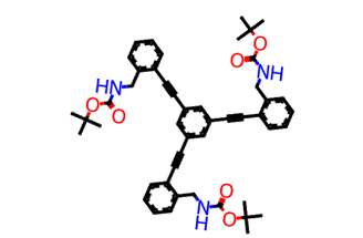 CC(C)(C)OC(=O)NCc1ccccc1C#Cc1cc(C#Cc2ccccc2CNC(=O)OC(C)(C)C)cc(C#Cc2ccccc2CNC(=O)OC(C)(C)C)c1